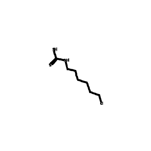 S=C(S)NCCCCCCCl